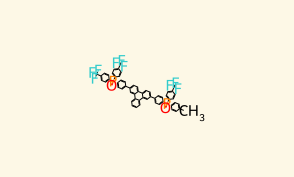 Cc1ccc(P(=O)(c2ccc(-c3ccc4c5ccc(-c6ccc(P(=O)(c7ccc(C(F)(F)F)cc7)c7ccc(C(F)(F)F)cc7)cc6)cc5c5ccccc5c4c3)cc2)c2ccc(C(F)(F)F)cc2)cc1